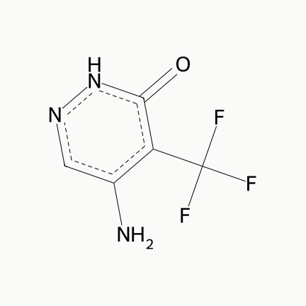 Nc1cn[nH]c(=O)c1C(F)(F)F